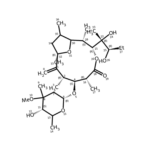 C=C1[C@@H](C)[C@H](O[C@H]2CC(C)(OC)[C@@H](O)C(C)O2)[C@@H](C)C(=O)O[C@@H]([C@](C)(O)[C@H](O)CC)[C@@H](C)C2O[C@]1(C)CC2C